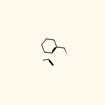 C=CC(=O)O.OCC1=CCCCC1